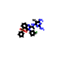 CC(Nc1nc(N)nc(N)c1C#N)c1nc2cccc(S(=O)(=O)c3ccccc3)c2c(=O)n1-c1cccc(F)c1